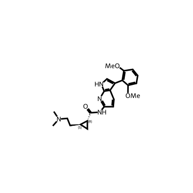 COc1cccc(OC)c1-c1c[nH]c2nc(NC(=O)[C@@H]3C[C@H]3CCN(C)C)ccc12